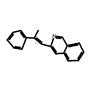 C/C(=C\c1cc2ccccc2cn1)c1ccccc1